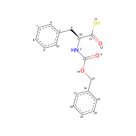 O=C(N[C@@H](Cc1ccccc1)C(=O)S)OCc1ccccc1